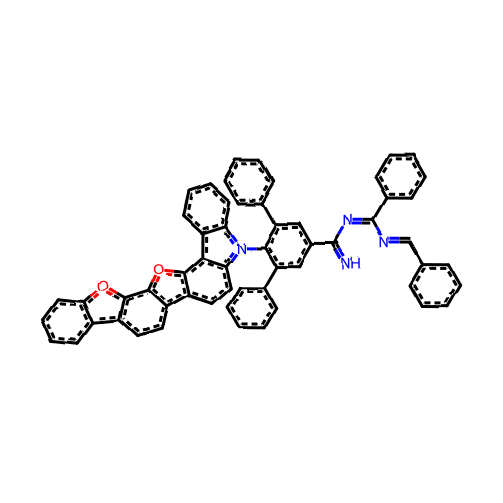 N=C(/N=C(\N=C\c1ccccc1)c1ccccc1)c1cc(-c2ccccc2)c(-n2c3ccccc3c3c4oc5c(ccc6c7ccccc7oc65)c4ccc32)c(-c2ccccc2)c1